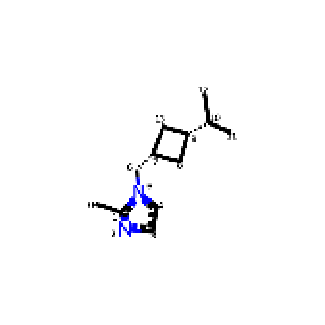 Cc1nccn1C[C@H]1C[C@@H](C(C)C)C1